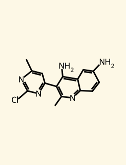 Cc1cc(-c2c(C)nc3ccc(N)cc3c2N)nc(Cl)n1